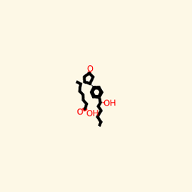 CCCCCCC(=O)O.CCCCC[C@@H](O)c1ccc([C@@H]2CCC(=O)C2)cc1